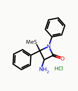 CSC1(c2ccccc2)C(N)C(=O)N1c1ccccc1.Cl